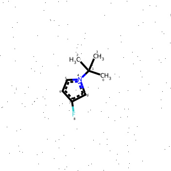 CC(C)(C)n1ccc(F)c1